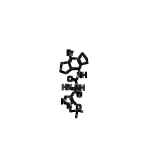 CC1(C)Cn2ncc(S(=N)(=O)NC(=O)Nc3c4c(c(Br)c5c3CCC5)CCC4)c2O1